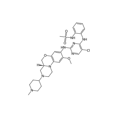 COc1cc2c(cc1Nc1ncc(Cl)c(Nc3ccccc3NS(C)(=O)=O)n1)OC[C@H]1CN(C3CCN(C)CC3)CCN21